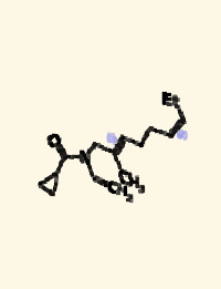 C=CN(C/C(C)=C/CC/C=C\CC)C(=O)C1CC1